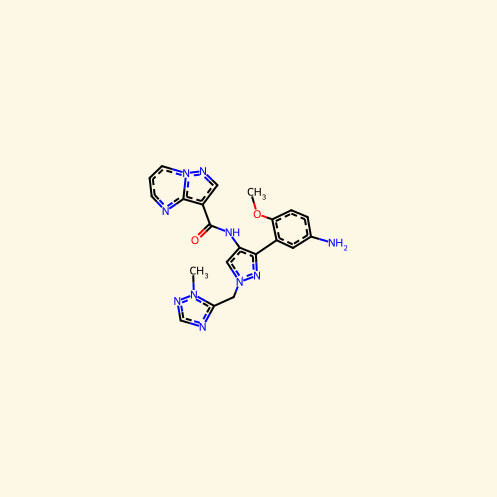 COc1ccc(N)cc1-c1nn(Cc2ncnn2C)cc1NC(=O)c1cnn2cccnc12